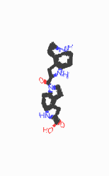 O=C(O)C1Cc2c(ccc3c2ccn3C(=O)C2Cc3c(ccc4[nH]ccc34)N2)N1